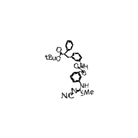 CSC(=NC#N)Nc1cccc(S(=O)(=O)Nc2cccc(CC(C(=O)OC(C)(C)C)c3ccccc3)c2)c1